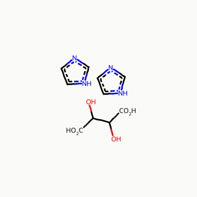 O=C(O)C(O)C(O)C(=O)O.c1c[nH]cn1.c1c[nH]cn1